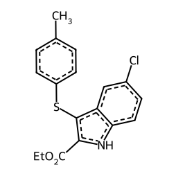 CCOC(=O)c1[nH]c2ccc(Cl)cc2c1Sc1ccc(C)cc1